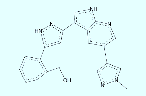 Cn1cc(-c2cnc3[nH]cc(-c4cc(-c5ccccc5CO)[nH]n4)c3c2)cn1